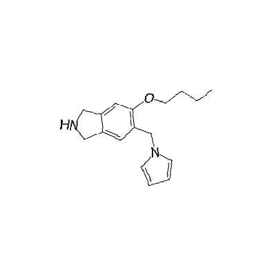 CCCCOc1cc2c(cc1Cn1cccc1)CNC2